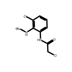 CC(C)(C)Nc1c(Cl)cccc1NC(=O)CCl